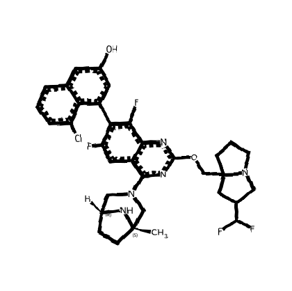 C[C@]12CC[C@H](CN(c3nc(OCC45CCCN4CC(C(F)F)C5)nc4c(F)c(-c5cc(O)cc6cccc(Cl)c56)c(F)cc34)C1)N2